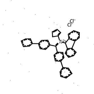 C1=CC[C]([Ti+2](=[C](c2ccc(-c3ccccc3)cc2)c2ccc(-c3ccccc3)cc2)[CH]2c3ccccc3-c3ccccc32)=C1.[Cl-].[Cl-]